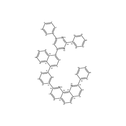 c1ccc(-c2cc(-c3ccc(-c4cccc(-c5ccc6ccc7ccc(-c8ccccc8)nc7c6n5)c4)c4ccccc34)nc(-c3ccccc3)n2)cc1